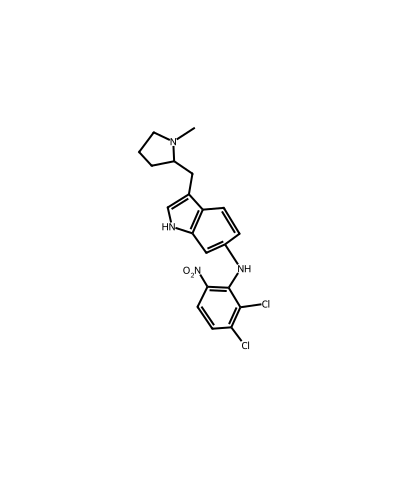 CN1CCCC1Cc1c[nH]c2cc(Nc3c([N+](=O)[O-])ccc(Cl)c3Cl)ccc12